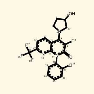 O=c1c(F)c(N2CCC(O)C2)c2ccc(C(F)(F)F)nc2n1-c1ccccc1Cl